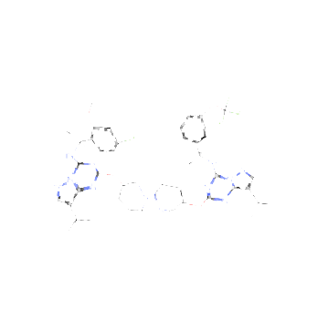 CC(C)c1cnn2c(N[C@@H](C)c3cccc(OC(F)(F)F)c3)nc(OC3CCCNC3)nc12.COc1cc(F)ccc1[C@H](C)Nc1nc(OC2CCCNC2)nc2c(C(C)C)cnn12